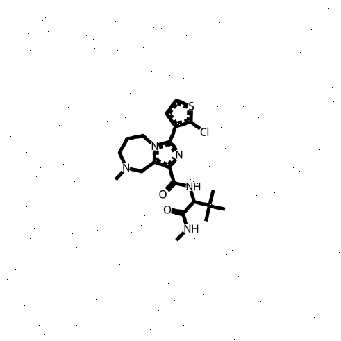 CNC(=O)C(NC(=O)c1nc(-c2ccsc2Cl)n2c1CN(C)CCC2)C(C)(C)C